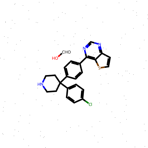 Clc1ccc(C2(c3ccc(-c4ncnc5ccsc45)cc3)CCNCC2)cc1.O=CO